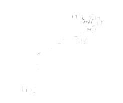 CCCCCCCC/C=C\CCCCCCCCC(S)CCC(=O)[O][Sn]([CH3])([CH3])[CH3]